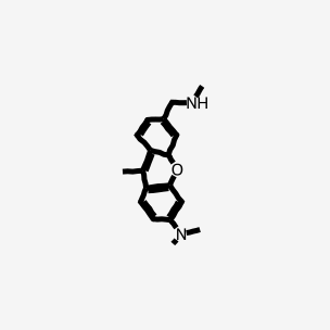 CNCC1=CC2Oc3cc(N(C)C)ccc3C(C)=C2C=C1